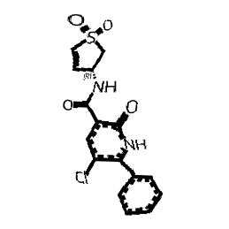 O=C(N[C@@H]1C=CS(=O)(=O)C1)c1cc(Cl)c(-c2ccccc2)[nH]c1=O